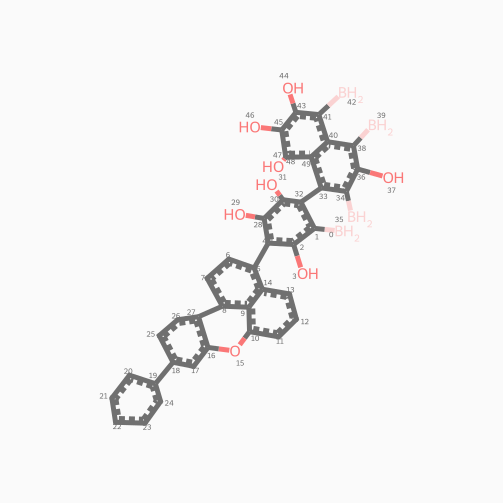 Bc1c(O)c(-c2ccc3c4c(cccc24)Oc2cc(-c4ccccc4)ccc2-3)c(O)c(O)c1-c1c(B)c(O)c(B)c2c(B)c(O)c(O)c(O)c12